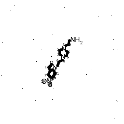 NCCCN1CCN(CCCn2ccc3cc([N+](=O)[O-])ccc32)CC1